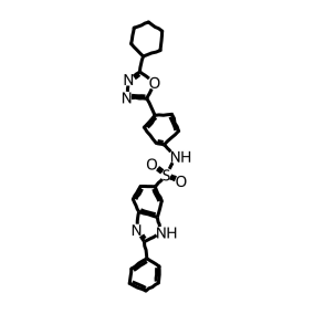 O=S(=O)(Nc1ccc(-c2nnc(C3CCCCC3)o2)cc1)c1ccc2nc(-c3ccccc3)[nH]c2c1